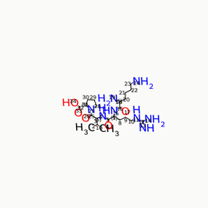 CC(C)[C@H](NC(=O)[C@H](CCCNC(=N)N)NC(=O)[C@@H](N)CCCCN)C(=O)N1CCC[C@H]1C(=O)O